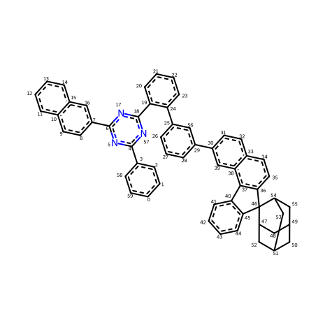 c1ccc(-c2nc(-c3ccc4ccccc4c3)nc(-c3ccccc3-c3cccc(-c4ccc5ccc6c(c5c4)-c4ccccc4C64C5CC6CC(C5)CC4C6)c3)n2)cc1